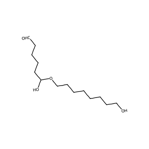 O=CCCCCC(O)OCCCCCCCCO